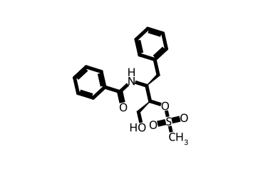 CS(=O)(=O)O[C@@H](CO)[C@H](Cc1ccccc1)NC(=O)c1ccccc1